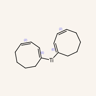 C1=C\CCCC\[C]([Ti]/[C]2=C/C=C\CCCC2)=C/1